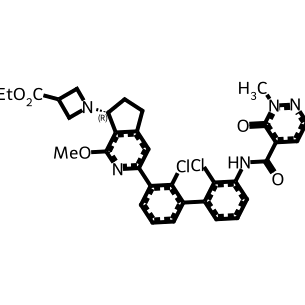 CCOC(=O)C1CN([C@@H]2CCc3cc(-c4cccc(-c5cccc(NC(=O)c6ccnn(C)c6=O)c5Cl)c4Cl)nc(OC)c32)C1